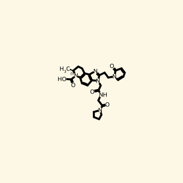 C[C@H]1CCc2c(ccc3c2nc(CCn2ccccc2=O)n3CC(=O)NCC(=O)N2CCCC2)N1C(=O)O